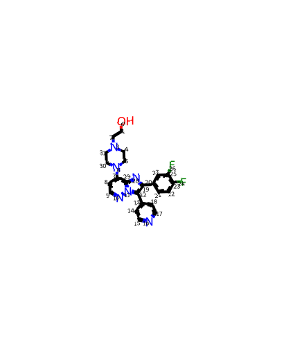 OCCN1CCN(c2ccnn3c(-c4ccncc4)c(-c4ccc(F)c(F)c4)nc23)CC1